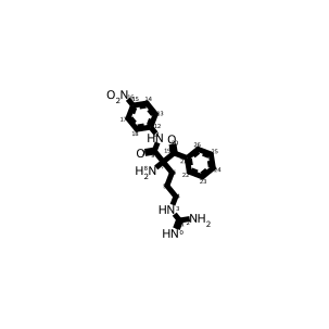 N=C(N)NCCCC(N)(C(=O)Nc1ccc([N+](=O)[O-])cc1)C(=O)c1ccccc1